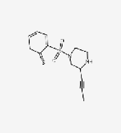 CC#CC1CN(S(=O)(=O)C2=CC=CCC2=S)CCN1